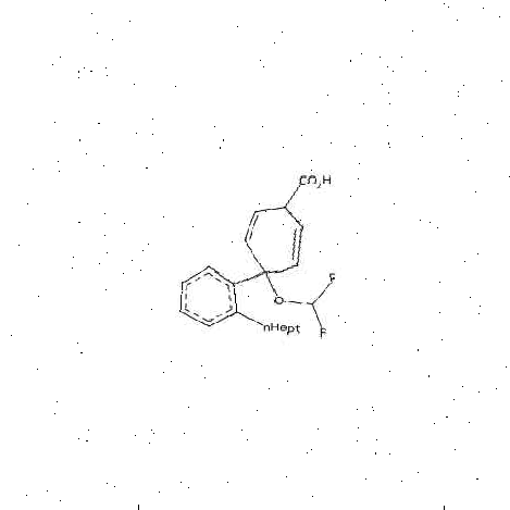 CCCCCCCc1ccccc1C1(OC(F)F)C=CC(C(=O)O)C=C1